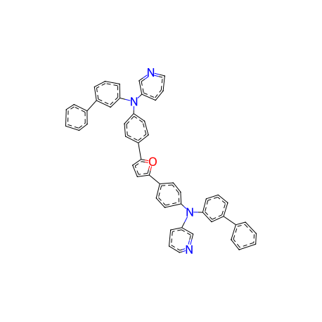 c1ccc(-c2cccc(N(c3ccc(-c4ccc(-c5ccc(N(c6cccnc6)c6cccc(-c7ccccc7)c6)cc5)o4)cc3)c3cccnc3)c2)cc1